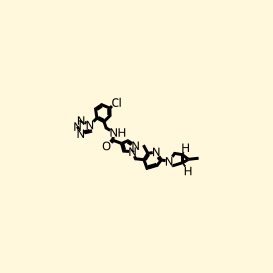 Cc1nc(N2C[C@@H]3C(C)[C@@H]3C2)ccc1Cn1cc(C(=O)NCc2cc(Cl)ccc2-n2cnnn2)cn1